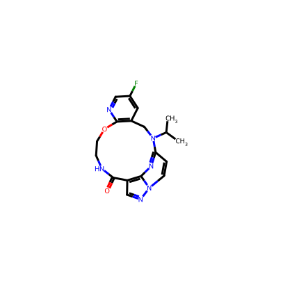 CC(C)N1Cc2cc(F)cnc2OCCNC(=O)c2cnn3ccc1nc23